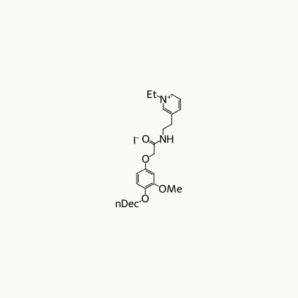 CCCCCCCCCCOc1ccc(OCC(=O)NCCc2ccc[n+](CC)c2)cc1OC.[I-]